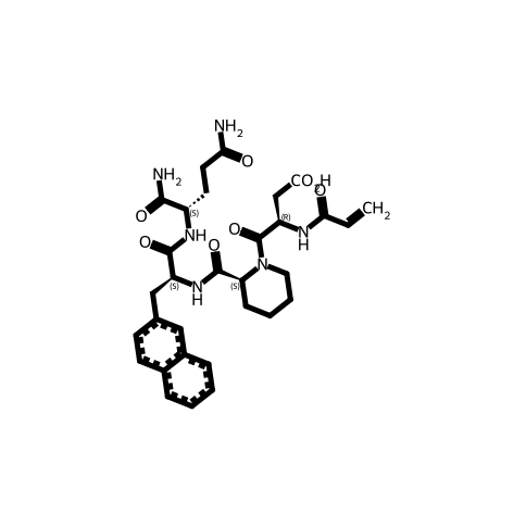 C=CC(=O)N[C@H](CC(=O)O)C(=O)N1CCCC[C@H]1C(=O)N[C@@H](Cc1ccc2ccccc2c1)C(=O)N[C@@H](CCC(N)=O)C(N)=O